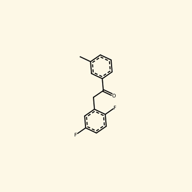 Cc1cccc(C(=O)Cc2cc(F)ccc2F)c1